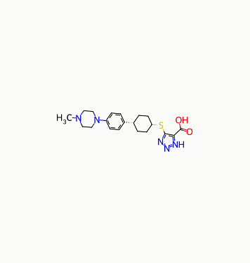 CN1CCN(c2ccc([C@H]3CC[C@@H](Sc4nn[nH]c4C(=O)O)CC3)cc2)CC1